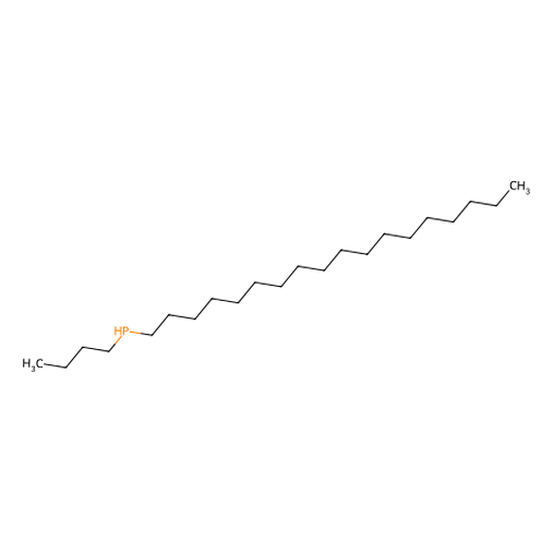 CCCCCCCCCCCCCCCCCCPCCCC